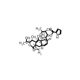 CO[C@]12C[C@H]3C=C[C@@H]4C[C@]3(O[C@H]4[C@H](OC(=O)c3ccc[nH]3)[C@H](C)[C@H](C)O)C(C)=C1[C@@H](C)[C@@H]([C@@H](C)O)OC2=O